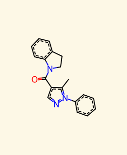 Cc1c(C(=O)N2CCc3ccccc32)cnn1-c1ccccc1